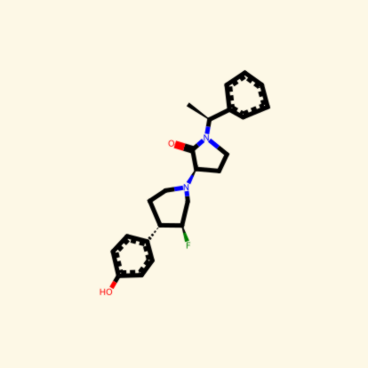 C[C@@H](c1ccccc1)N1CC[C@@H](N2CC[C@@H](c3ccc(O)cc3)[C@H](F)C2)C1=O